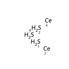 S.S.S.[Ce].[Ce]